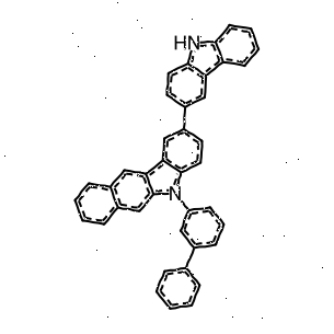 c1ccc(-c2cccc(-n3c4ccc(-c5ccc6[nH]c7ccccc7c6c5)cc4c4cc5ccccc5cc43)c2)cc1